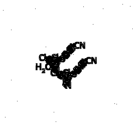 N#CCN1CCN(c2ccc(OCC3COC(Cn4ccnc4)(c4ccc(Cl)cc4Cl)O3)cc2)CC1.N#CCN1CCN(c2ccc(OCC3COC(Cn4ccnc4)(c4ccc(Cl)cc4Cl)O3)cc2)CC1.O